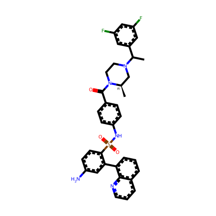 CC(c1cc(F)cc(F)c1)N1CCN(C(=O)c2ccc(NS(=O)(=O)c3ccc(N)cc3-c3cccc4cccnc34)cc2)[C@H](C)C1